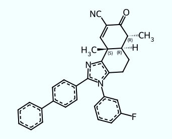 C[C@H]1C(=O)C(C#N)=C[C@@]2(C)c3nc(-c4ccc(-c5ccccc5)cc4)n(-c4cccc(F)c4)c3CC[C@H]12